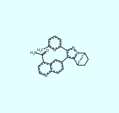 Cc1cccc(-c2nn3c(c2-c2ccc4nccc(C(N)=O)c4c2)C2CCC3CC2)n1